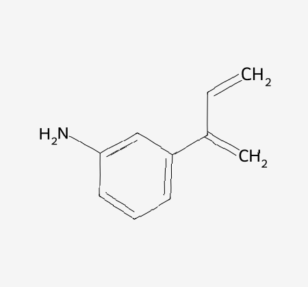 C=CC(=C)c1cccc(N)c1